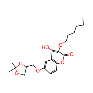 CCCCCCOc1c(O)c2cc(OCC3COC(C)(C)O3)ccc2oc1=O